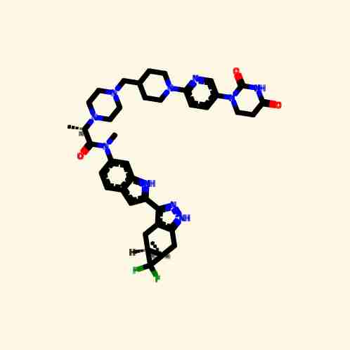 C[C@@H](C(=O)N(C)c1ccc2cc(-c3n[nH]c4c3C[C@@H]3C(F)(F)[C@]3(C)C4)[nH]c2c1)N1CCN(CC2CCN(c3ccc(N4CCC(=O)NC4=O)cn3)CC2)CC1